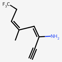 C#C/C(N)=C\C(C)=C/CC(F)(F)F